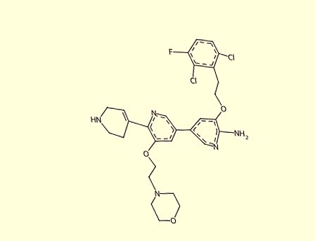 Nc1ncc(-c2cnc(C3=CCNCC3)c(OCCN3CCOCC3)c2)cc1OCCc1c(Cl)ccc(F)c1Cl